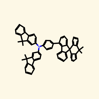 CC1(C)c2ccccc2-c2ccc(N(c3ccc(-c4cccc5c4-c4ccccc4C54c5ccccc5C(C)(C)c5ccccc54)cc3)c3ccc4c(c3)C(C)(C)c3ccccc3-4)cc21